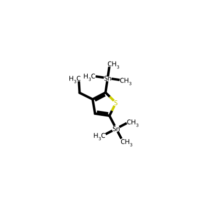 CCc1c[c]([Sn]([CH3])([CH3])[CH3])s[c]1[Sn]([CH3])([CH3])[CH3]